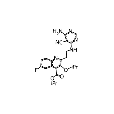 CC(C)OC(=O)c1c(OC(C)C)c(CCNc2ncnc(N)c2C#N)nc2ccc(F)cc12